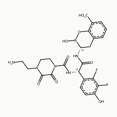 NCCN1CCN(C(=O)N[C@H](C(=O)N[C@H]2Cc3cccc(C(=O)O)c3OB2O)c2ccc(O)c(F)c2F)C(=O)C1=O